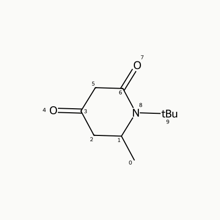 CC1CC(=O)CC(=O)N1C(C)(C)C